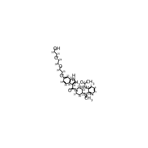 CC(C)Nc1cccnc1N(C)C1CCN(C(=O)c2c[nH]c3cc(OCCOCCOCCO)ccc23)CC1